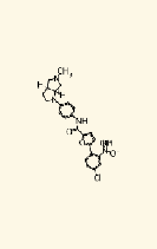 CN1C[C@@H]2CCN(c3ccc(NC(=O)c4ccc(-c5ccc(Cl)cc5[NH+]([O-])O)o4)cc3)[C@@H]2C1